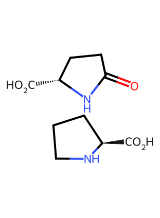 O=C(O)[C@@H]1CCCN1.O=C1CC[C@@H](C(=O)O)N1